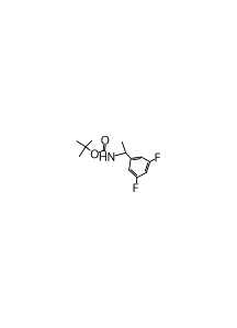 CC(NC(=O)OC(C)(C)C)c1cc(F)cc(F)c1